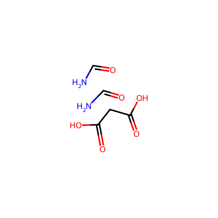 NC=O.NC=O.O=C(O)CC(=O)O